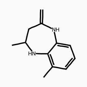 C=C1CC(C)Nc2c(C)cccc2N1